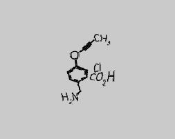 CC#COc1ccc(CN)cc1.O=C(O)Cl